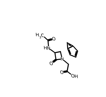 CC(=O)NC1CN(CC(=O)O)C1=O.c1cc2cc-2c1